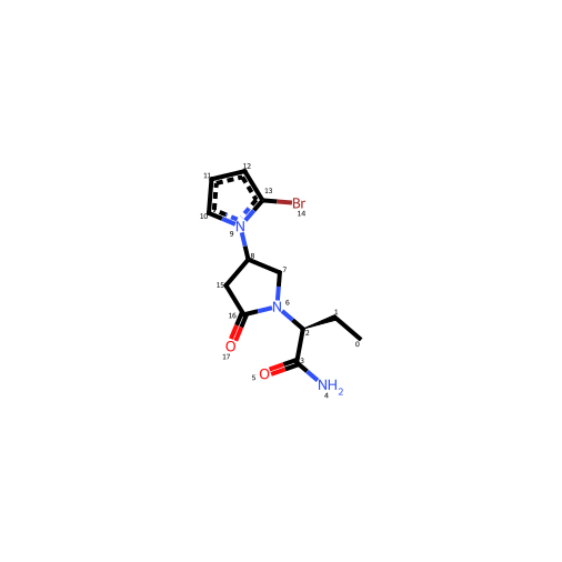 CC[C@@H](C(N)=O)N1CC(n2cccc2Br)CC1=O